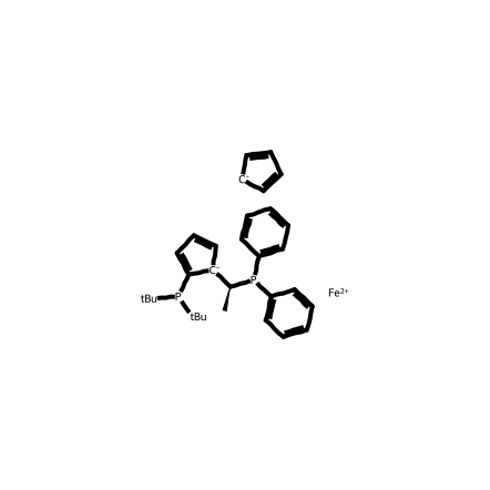 C[C@@H]([c-]1cccc1P(C(C)(C)C)C(C)(C)C)P(c1ccccc1)c1ccccc1.[Fe+2].c1cc[cH-]c1